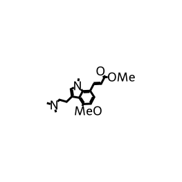 COC(=O)/C=C/c1ccc(OC)c2c(CCN(C)C)cn(C)c12